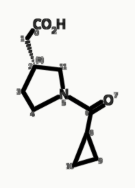 O=C(O)C[C@H]1CCN(C(=O)C2CC2)C1